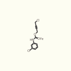 O=C(Nc1cccc(Cl)c1)OCC#CCCl.[Fe]